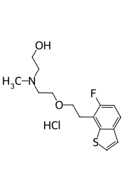 CN(CCO)CCOCCc1c(F)ccc2ccsc12.Cl